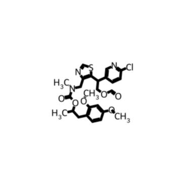 COc1ccc(CC(C)OC(=O)N(C)Cc2ncsc2C(COC=O)c2ccc(Cl)nc2)c(OC)c1